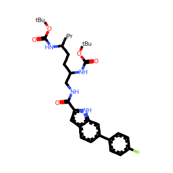 CC(C)C(CCC(CNC(=O)c1cc2ccc(-c3ccc(F)cc3)cc2[nH]1)NC(=O)OC(C)(C)C)NC(=O)OC(C)(C)C